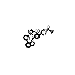 O=C(O)c1cnn(-c2cccc(-c3cccc4c3N(Cc3ccc(C5CCN(C(=O)C6CC6)CC5)cc3)CC4)n2)c1C(F)(F)F